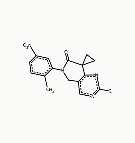 Cc1ccc([N+](=O)[O-])cc1N1Cc2cnc(Cl)nc2C2(CC2)C1=O